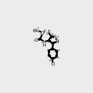 CC(C)(C)OC(=O)Nc1c(-c2ccc(Cl)cc2)nsc1C(F)(F)F